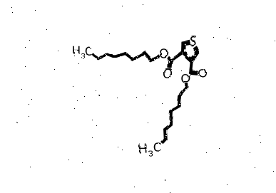 CCCCCCCCOC(=O)c1cscc1C(=O)OCCCCCCCC